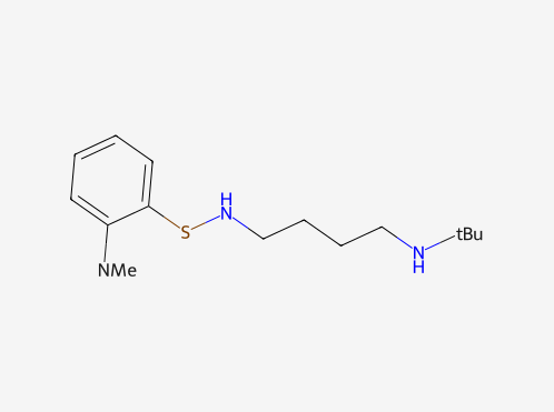 CNc1ccccc1SNCCCCNC(C)(C)C